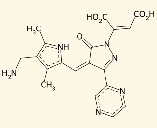 Cc1[nH]c(C=C2C(=O)N(/C(=C/C(=O)O)C(=O)O)N=C2c2cnccn2)c(C)c1CN